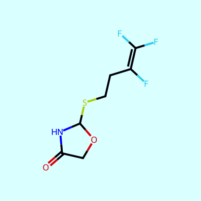 O=C1COC(SCCC(F)=C(F)F)N1